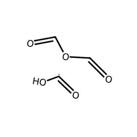 O=COC=O.O=[C]O